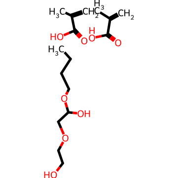 C=C(C)C(=O)O.C=C(C)C(=O)O.CCCCOC(O)COCCO